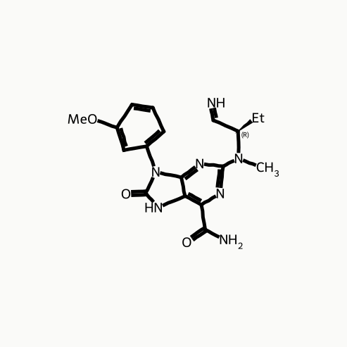 CC[C@H](C=N)N(C)c1nc(C(N)=O)c2[nH]c(=O)n(-c3cccc(OC)c3)c2n1